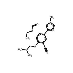 CC(C)COc1ccc(-c2cn(C)cn2)cc1C#N.CCOC=O